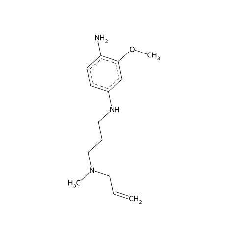 C=CCN(C)CCCNc1ccc(N)c(OC)c1